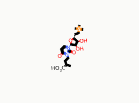 C=P(C)(C)CC[C@H]1O[C@@H](n2ccc(=O)n(CCC(C)C(=O)O)c2=O)[C@H](O)[C@@H]1O